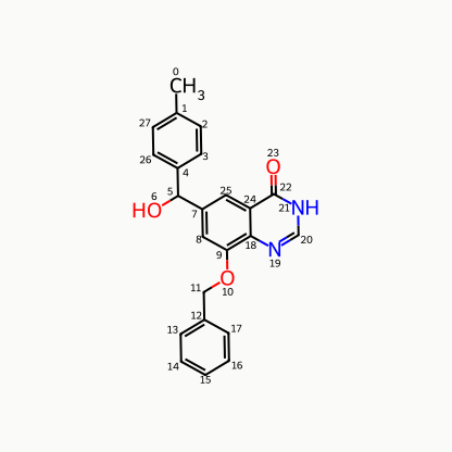 Cc1ccc(C(O)c2cc(OCc3ccccc3)c3nc[nH]c(=O)c3c2)cc1